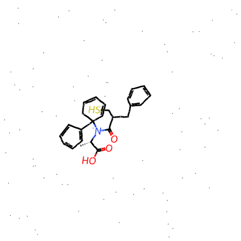 C[C@@H](C(=O)O)N(C(=O)C(CS)Cc1ccccc1)C1(c2ccccc2)C=CC=CC1